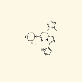 C[C@@H]1COCCN1c1cc(-c2ccnn2C)c2cnc(-c3ccn[nH]3)n2n1